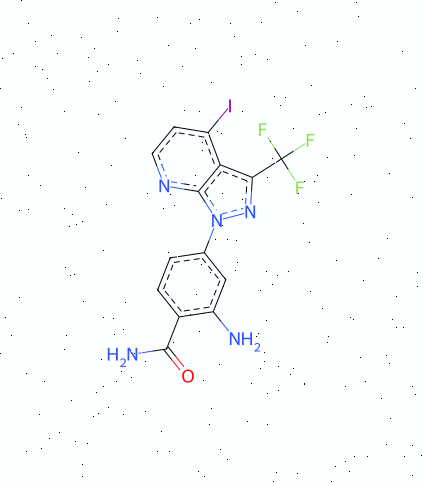 NC(=O)c1ccc(-n2nc(C(F)(F)F)c3c(I)ccnc32)cc1N